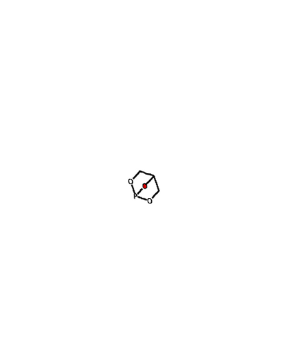 C1OP2OCC1CO2